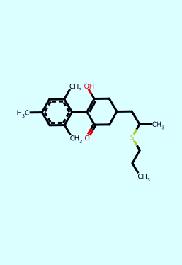 CCCSC(C)CC1CC(=O)C(c2c(C)cc(C)cc2C)=C(O)C1